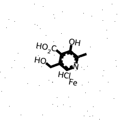 Cc1ncc(CO)c(C(=O)O)c1O.Cl.[Fe]